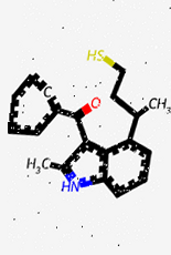 Cc1[nH]c2cccc(C(C)CCS)c2c1C(=O)c1ccccc1